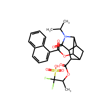 CC(C)N1C(=O)C2C3CC(C(OC(=O)c4cccc5ccccc45)C31)C2C(=O)OC(C)C(F)(F)S(=O)(=O)O